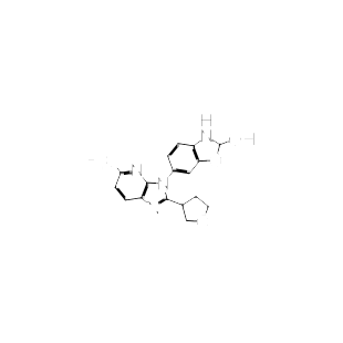 OC1Nc2ccc(-n3c(C4CCOC4)nc4ccc(C(F)(F)F)nc43)cc2O1